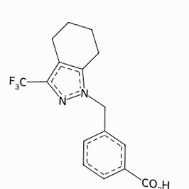 O=C(O)c1cccc(Cn2nc(C(F)(F)F)c3c2CCCC3)c1